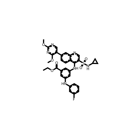 CCOC(=O)c1cc(Nc2cccc(F)c2)cc(Nc2c(S(=O)(=O)NC3CC3)cnc3cc(-c4cnc(OC)nc4OC)ccc23)c1